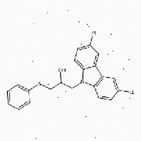 OC(CSc1ccccc1)Cn1c2ccc(Cl)cc2c2cc(Cl)ccc21